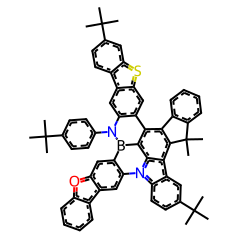 CC(C)(C)c1ccc(N2B3c4cc5oc6ccccc6c5cc4-n4c5ccc(C(C)(C)C)cc5c5c6c(c(c3c54)-c3cc4sc5cc(C(C)(C)C)ccc5c4cc32)-c2ccccc2C6(C)C)cc1